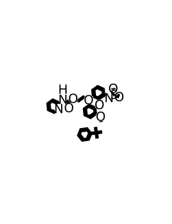 CC(C)(C)c1ccccc1.COc1ccccc1Oc1c(N=S(=O)=O)cccc1OCCOC(=O)Nc1ccccn1